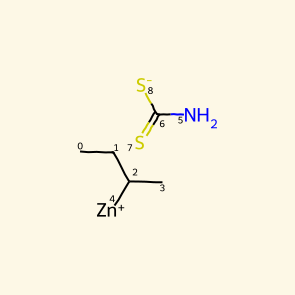 CC[CH](C)[Zn+].NC(=S)[S-]